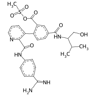 CC(C)C(CO)NC(=O)c1ccc(-c2cccnc2C(=O)Nc2ccc(C(=N)N)cc2)c(C(=O)OS(C)(=O)=O)c1